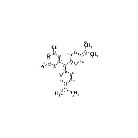 CCc1cc(C(c2ccc(N(C)C)cc2)c2ccc(N(C)C)cc2)cc(C(C)C)n1